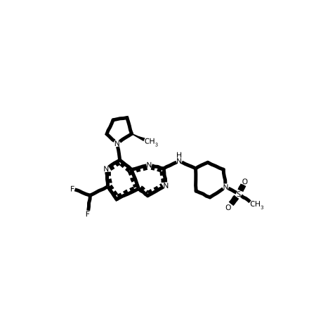 C[C@@H]1CCCN1c1nc(C(F)F)cc2cnc(NC3CCN(S(C)(=O)=O)CC3)nc12